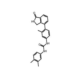 Cc1ccc(NC(=O)Nc2ccc(-c3cccc4c3CNC4=O)c(C)c2)cc1C